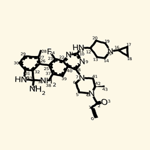 C=CC(=O)N1CCN(c2nc(NC3CCN(C4CC4)CC3)nc3c(F)c(-c4c(C)ccc5c4C(N)(N)N5)c(C)cc23)C[C@H]1C